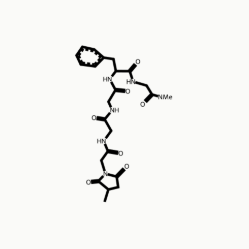 CNC(=O)CNC(=O)C(Cc1ccccc1)NC(=O)CNC(=O)CNC(=O)CN1C(=O)CC(C)C1=O